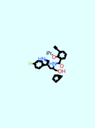 C#Cc1cccc(C(=O)NC(CO)Cc2c[nH]c3cc(F)ccc23)c1OC(C)C.c1cc2cc-2c1